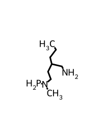 CCCC(CN)CCN(C)P